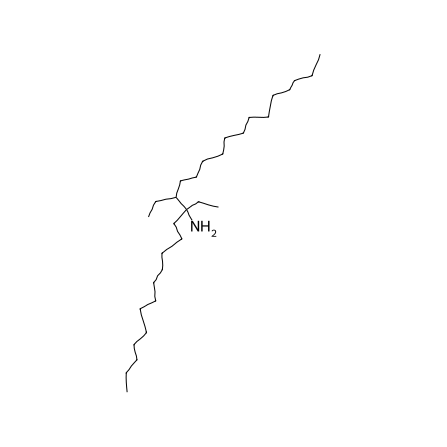 CCCCCCCCCCCCCC(CC)C(N)(CC)CCCCCCCCCCCC